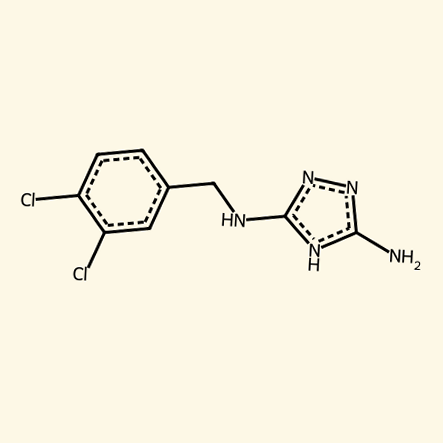 Nc1nnc(NCc2ccc(Cl)c(Cl)c2)[nH]1